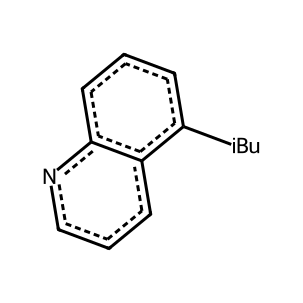 CCC(C)c1cccc2ncccc12